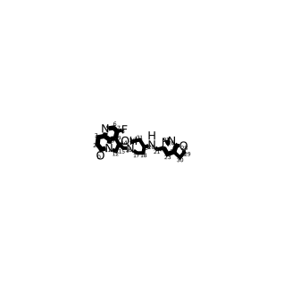 O=c1ccc2ncc(F)c3c2n1C[C@@]3(O)CN1CCC(NCc2cc3c(nn2)OCC3)CC1